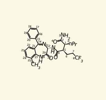 CCC[C@H](C(N)=O)[C@@H](CCC(F)(F)F)C(=O)N[C@H]1N=C(c2ccccc2)c2cccc(C)c2NC1=O